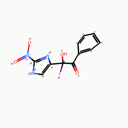 O=C(c1ccccc1)C(O)(I)c1c[nH]c([N+](=O)[O-])n1